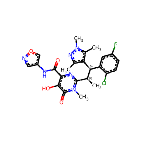 Cc1nn(C)c(C)c1[C@@H](c1cc(F)ccc1Cl)[C@@H](C)c1nc(C(=O)Nc2cnoc2)c(O)c(=O)n1C